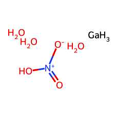 O.O.O.O=[N+]([O-])O.[GaH3]